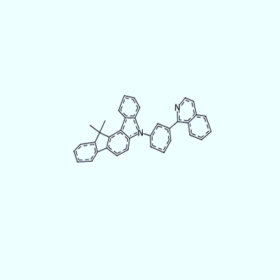 CC1(C)c2ccccc2-c2ccc3c(c21)c1ccccc1n3-c1cccc(-c2nccc3ccccc23)c1